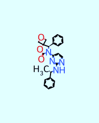 C[C@H](Nc1nccc(N2C(=O)OC3(COC3)[C@H]2c2ccccc2)n1)c1ccccc1